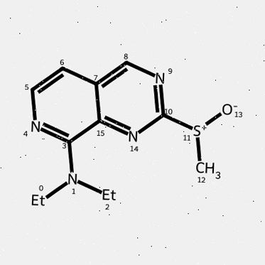 CCN(CC)c1nccc2cnc([S+](C)[O-])nc12